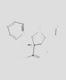 NC(=O)[C@@]1(O)[C@@H](O)[C@@H](CO)O[C@H]1[n+]1ccccc1